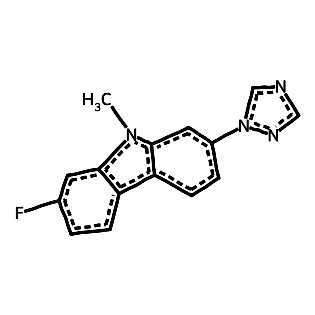 Cn1c2cc(F)ccc2c2ccc(-n3cncn3)cc21